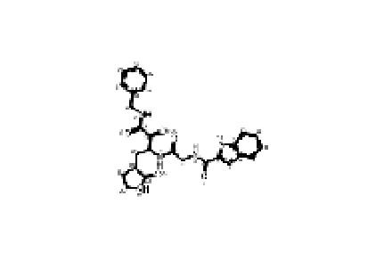 O=C(CNC(=O)c1cc2ccccc2s1)NC(CC1CCNC1=O)C(=O)C(=O)NCc1ccccc1